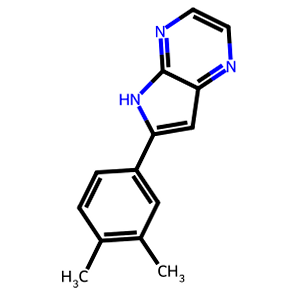 Cc1ccc(-c2cc3nccnc3[nH]2)cc1C